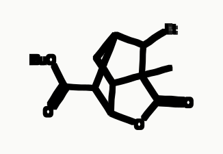 CCC1C2CC3C(OC(=O)C13C)C2C(=O)OCC(C)C